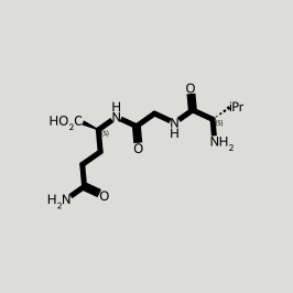 CC(C)[C@H](N)C(=O)NCC(=O)N[C@@H](CCC(N)=O)C(=O)O